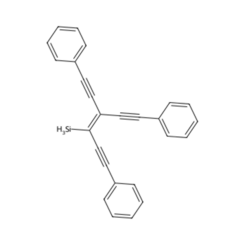 [SiH3]C(C#Cc1ccccc1)=C(C#Cc1ccccc1)C#Cc1ccccc1